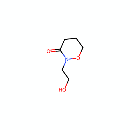 O=C1CCCON1CCO